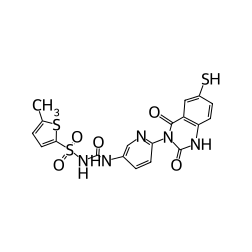 Cc1ccc(S(=O)(=O)NC(=O)Nc2ccc(-n3c(=O)[nH]c4ccc(S)cc4c3=O)nc2)s1